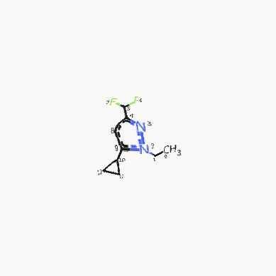 CCn1nc(C(F)F)cc1C1CC1